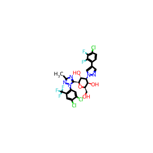 Cc1nc([C@@H]2O[C@H](CO)[C@H](O)[C@H](n3cc(-c4ccc(Cl)c(F)c4F)cn3)[C@H]2O)n(-c2cc(Cl)c(Cl)cc2C(F)(F)F)n1